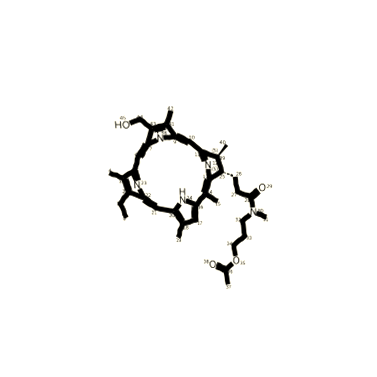 CCC1=C(C)c2cc3[nH]c(cc4nc(c(C)c5cc(C)c(cc1n2)[nH]5)[C@@H](CCC(=O)N(C)CCCOC(C)=O)[C@@H]4C)c(C)c3CO